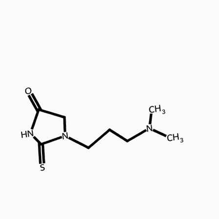 CN(C)CCCN1CC(=O)NC1=S